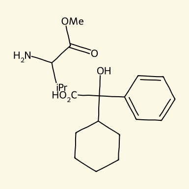 COC(=O)C(N)C(C)C.O=C(O)C(O)(c1ccccc1)C1CCCCC1